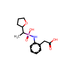 CC(C1CCCO1)P(=O)(O)Nc1ccccc1CC(=O)O